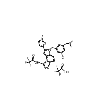 Cc1nnc2ccc3c(cc(-c4ccn(C)n4)n3Cc3cc(Cl)cc(CN(C)C)c3)n12.O=C(O)C(F)(F)F.O=C(O)C(F)(F)F